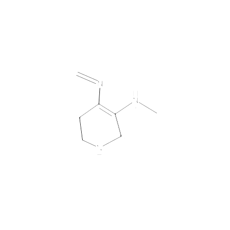 C=NC1=C(NC)CNCC1